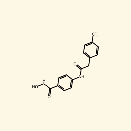 O=C(Cc1ccc(C(F)(F)F)cc1)Nc1ccc(C(=O)NO)cc1